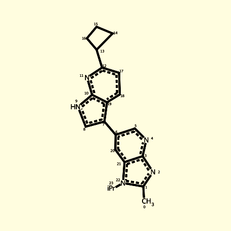 Cc1nc2ncc(-c3c[nH]c4nc(C5CCC5)ccc34)cc2n1C(C)C